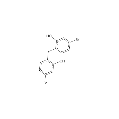 Oc1cc(Br)ccc1Cc1ccc(Br)cc1O